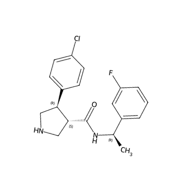 C[C@@H](NC(=O)[C@@H]1CNC[C@H]1c1ccc(Cl)cc1)c1cccc(F)c1